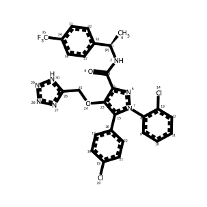 C[C@@H](NC(=O)c1nn(-c2ccccc2Cl)c(-c2ccc(Cl)cc2)c1OCc1nnn[nH]1)c1ccc(C(F)(F)F)cc1